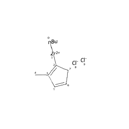 CCC[CH2][Zr+2][C]1=C(C)C=CC1.[Cl-].[Cl-]